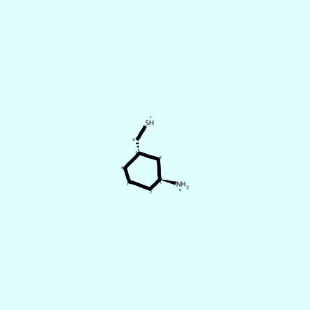 N[C@H]1CCC[C@H](CS)C1